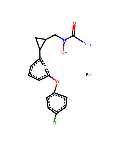 NC(=O)N(O)CC1CC1c1cccc(Oc2ccc(Cl)cc2)c1.[KH]